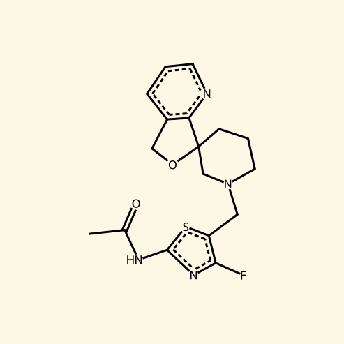 CC(=O)Nc1nc(F)c(CN2CCCC3(C2)OCc2cccnc23)s1